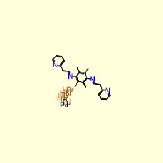 Br.Br.Br.Br.Cc1c(C)c(N=CCc2ccccn2)c(C)c(C)c1N=CCc1ccccn1.[Pd].[Pd]